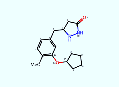 COc1ccc(CC2CC(=O)NN2)cc1OC1CCCC1